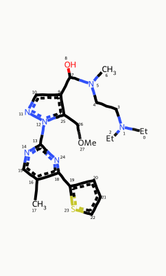 CCN(CC)CCN(C)C(O)c1cnn(-c2ncc(C)c(-c3cccs3)n2)c1COC